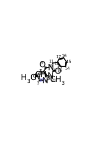 CN(C)/C=N\c1c(I)c(=O)n(Cc2ccccc2)c(=O)n1C